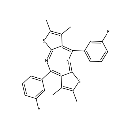 Cc1s/c2c(c1C)=C(c1cccc(F)c1)/N=c1/sc(C)c(C)c1=C(c1cccc(F)c1)/N=2